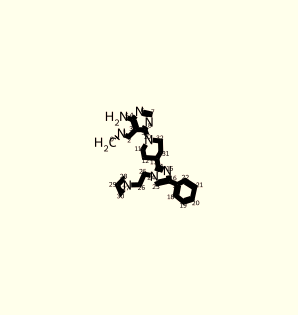 C=NCc1c(N)ncnc1N1CCC(c2nc(-c3ccccc3)cn2CCN2CCC2)CC1